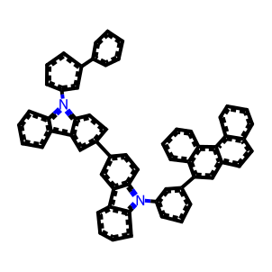 c1ccc(-c2cccc(-n3c4ccccc4c4cc(-c5ccc6c(c5)c5ccccc5n6-c5cccc(-c6cc7ccc8ccccc8c7c7ccccc67)c5)ccc43)c2)cc1